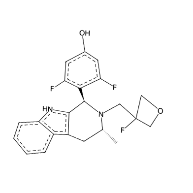 C[C@@H]1Cc2c([nH]c3ccccc23)[C@@H](c2c(F)cc(O)cc2F)N1CC1(F)COC1